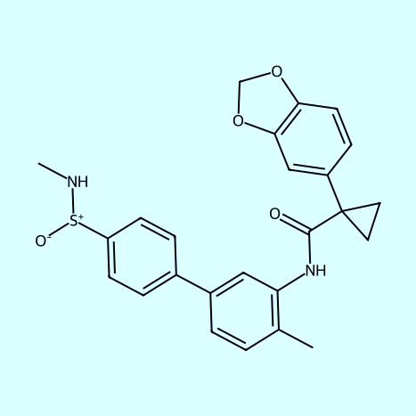 CN[S+]([O-])c1ccc(-c2ccc(C)c(NC(=O)C3(c4ccc5c(c4)OCO5)CC3)c2)cc1